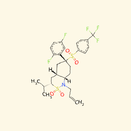 C=CCN1[C@H]2CC[C@@](c3cc(F)ccc3F)(S(=O)(=O)c3ccc(C(F)(F)F)cc3)C[C@H]2C[C@@H](C(C)C)S1(=O)=O